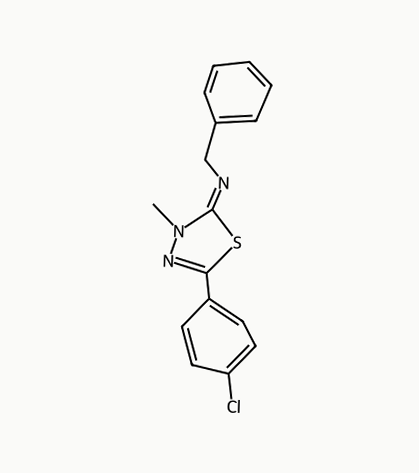 Cn1nc(-c2ccc(Cl)cc2)s/c1=N/Cc1ccccc1